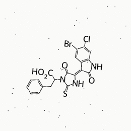 O=C1Nc2cc(Cl)c(Br)cc2C1=C1NC(=S)N(C(Cc2ccccc2)C(=O)O)C1=O